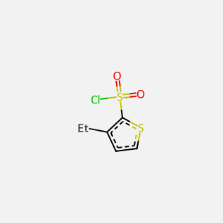 CCc1ccsc1S(=O)(=O)Cl